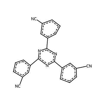 N#Cc1cccc(-c2nc(-c3cccc(C#N)c3)nc(-c3cccc(C#N)c3)n2)c1